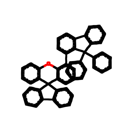 c1ccc(C2(c3ccccc3)c3ccccc3-c3cccc(-c4cccc5c4Oc4ccccc4C54c5ccccc5-c5ccccc54)c32)cc1